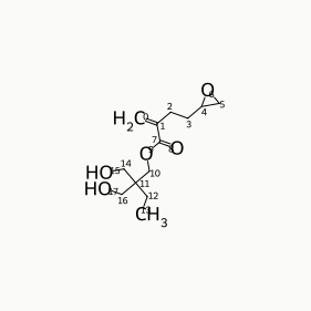 C=C(CCC1CO1)C(=O)OCC(CC)(CO)CO